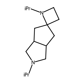 CC(C)N1CC2CC3(CCN3C(C)C)CC2C1